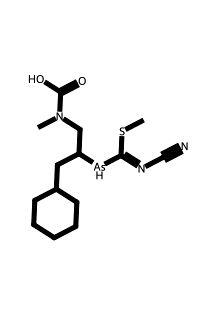 CSC(=NC#N)[AsH]C(CC1CCCCC1)CN(C)C(=O)O